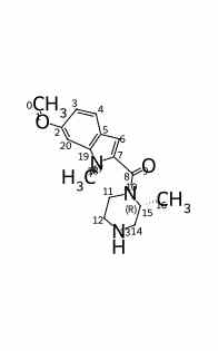 COc1ccc2cc(C(=O)N3CCNC[C@H]3C)n(C)c2c1